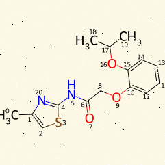 Cc1csc(NC(=O)COc2ccccc2OC(C)C)n1